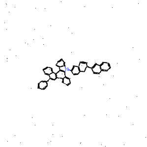 C1=CC(c2ccc3ccccc3c2)Cc2ccc(-n3c4ccccc4c4c5c6ccccc6c(-c6ccccc6)cc5c5ccccc5c43)cc21